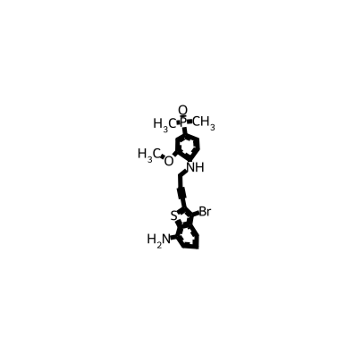 COc1cc(P(C)(C)=O)ccc1NCC#Cc1sc2c(N)cccc2c1Br